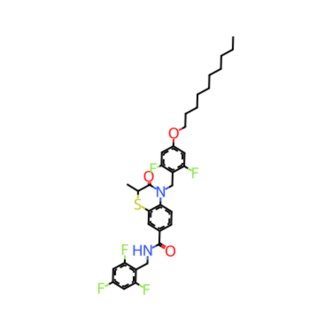 CCCCCCCCCCOc1cc(F)c(CN2C(=O)C(C)Sc3cc(C(=O)NCc4c(F)cc(F)cc4F)ccc32)c(F)c1